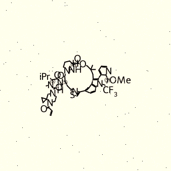 C=CC(=O)N1CCN(C(=O)N(C)[C@H](C(=O)N[C@H]2Cc3nc(cs3)-c3ccc4c(c3)c(c(-c3cccnc3[C@H](C)OC)n4CC(F)(F)F)CC(C)(C)COC(=O)[C@@H]3CCCN(N3)C2=O)C(C)C)CC12CC2